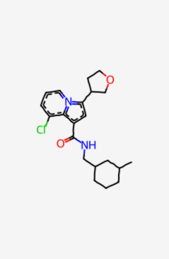 CC1CCCC(CNC(=O)c2cc(C3CCOC3)n3cccc(Cl)c23)C1